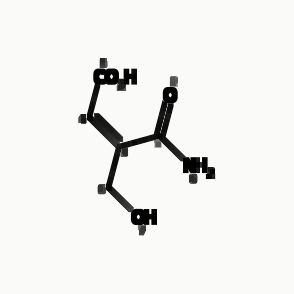 NC(=O)/C(=C\C(=O)O)CO